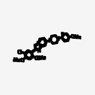 COc1ccc(N2CCN(c3ccn4cc(-c5cc(Cl)c(OC)cc5OC)nc4c3)CC2)nc1